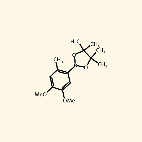 COc1cc(C)c(B2OC(C)(C)C(C)(C)O2)cc1OC